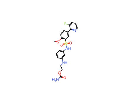 COc1ccc(-c2ncccc2F)cc1S(=O)(=O)Nc1cccc(NCCOC(N)=O)c1